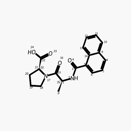 C[C@H](NC(=O)c1cccc2ccccc12)C(=O)N1CCC[C@H]1C(=O)O